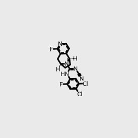 N#CN=C(Nc1cc(Cl)c(Cl)cc1F)N1[C@H]2CC[C@@H]1c1ccnc(F)c1C2